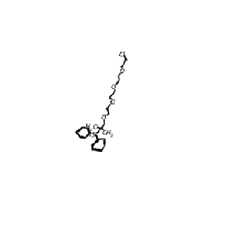 CC(C)(COCCOCCOCCOCCCl)[SiH](c1ccccc1)c1ccccc1